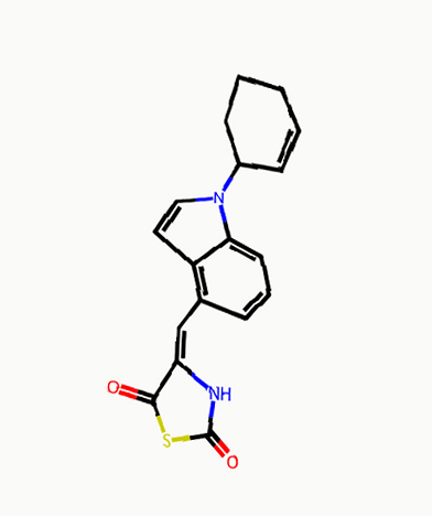 O=C1NC(=Cc2cccc3c2ccn3C2C=CCCC2)C(=O)S1